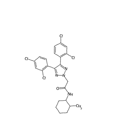 CC1CCCCC1NC(=O)Cn1nc(-c2ccc(Cl)cc2Cl)c(-c2ccc(Cl)cc2Cl)n1